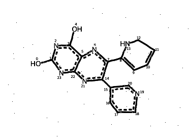 Oc1nc(O)c2nc(C3=CC=CCN3)c(-c3cccnc3)nc2n1